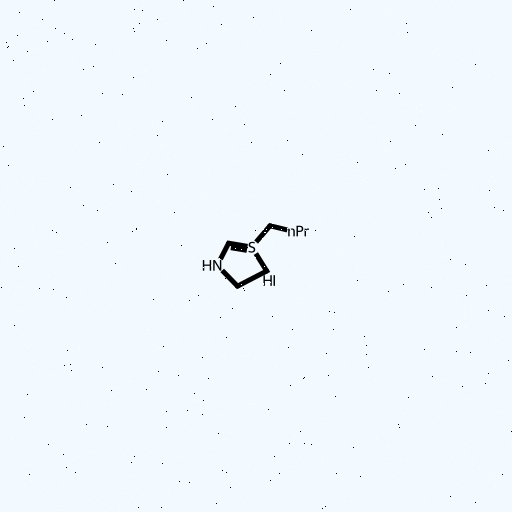 CCCCS1=CNCC1.I